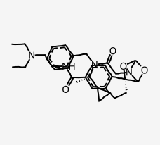 CCN(CC)CCNC(=O)c1ccc2c(c1)CC[C@@]21OC2OC1N2CC(=O)N(Cc1ccccc1)[C@@H](C)C1CC1